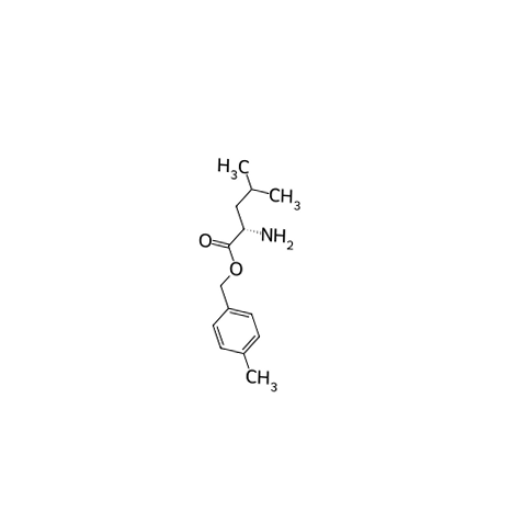 Cc1ccc(COC(=O)[C@@H](N)CC(C)C)cc1